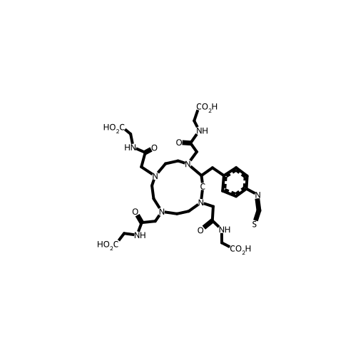 O=C(O)CNC(=O)CN1CCN(CC(=O)NCC(=O)O)CCN(CC(=O)NCC(=O)O)C(Cc2ccc(N=C=S)cc2)CN(CC(=O)NCC(=O)O)CC1